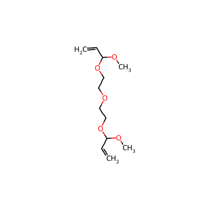 C=CC(OC)OCCOCCOC(C=C)OC